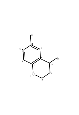 Cc1cc2c(cn1)OCCC2C